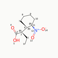 CC[C@@H](C(=O)O)[C@H]1CCCC[C@H]1[N+](=O)[O-]